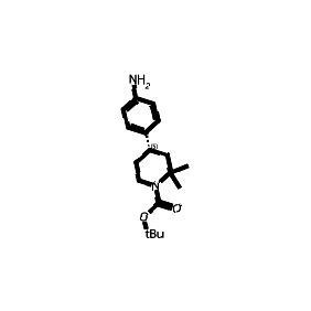 CC(C)(C)OC(=O)N1CC[C@H](c2ccc(N)cc2)CC1(C)C